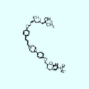 CC(C)=CCCC(C)=CCOc1ccc(C=CCN2CCN(c3ccc(OCC4CCn5cc([N+](=O)[O-])nc5O4)cc3)CC2)cc1